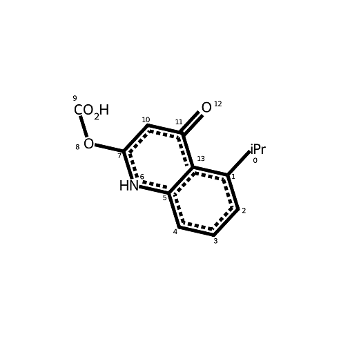 CC(C)c1cccc2[nH]c(OC(=O)O)cc(=O)c12